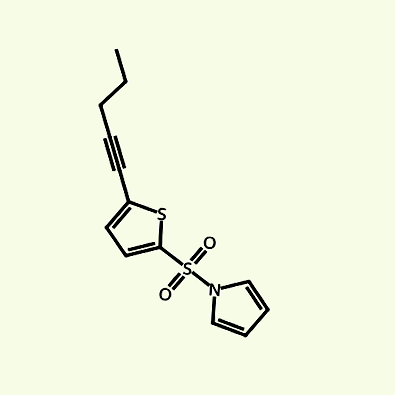 CCCC#Cc1ccc(S(=O)(=O)n2cccc2)s1